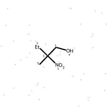 [CH2]C(CC)(CO)[N+](=O)[O-]